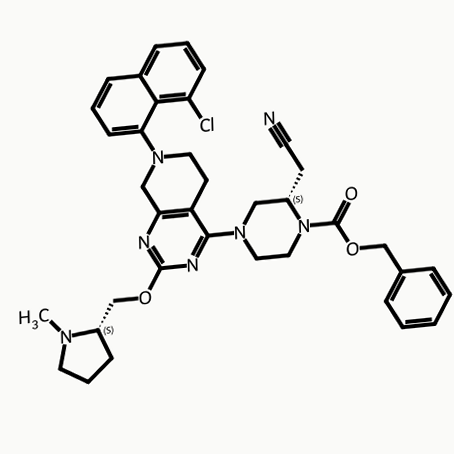 CN1CCC[C@H]1COc1nc2c(c(N3CCN(C(=O)OCc4ccccc4)[C@@H](CC#N)C3)n1)CCN(c1cccc3cccc(Cl)c13)C2